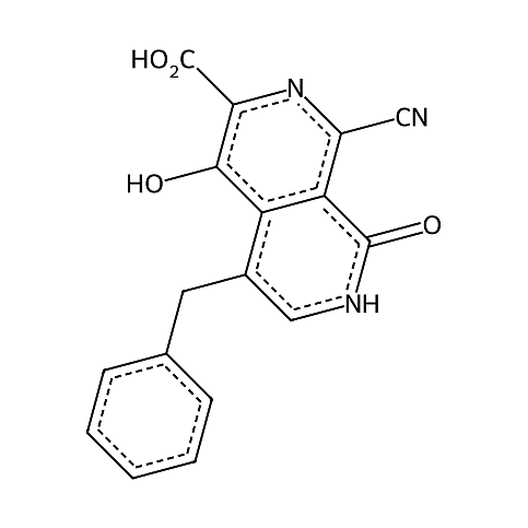 N#Cc1nc(C(=O)O)c(O)c2c(Cc3ccccc3)c[nH]c(=O)c12